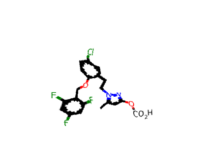 Cc1cc(OC(=O)O)nn1CCc1cc(Cl)ccc1OCc1c(F)cc(F)cc1F